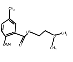 COc1ccc(C)cc1C(=O)NCCN(C)C